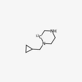 C1CN(CC2CC2)[12CH2]CN1